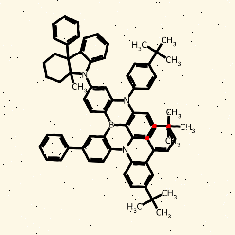 CC(C)(C)c1ccc(N2c3cc(N4c5ccccc5C5(c6ccccc6)CCCCC45C)ccc3B3c4cc(-c5ccccc5)ccc4N(c4ccc(C(C)(C)C)cc4-c4ccccc4)c4cc(C(C)(C)C)cc2c43)cc1